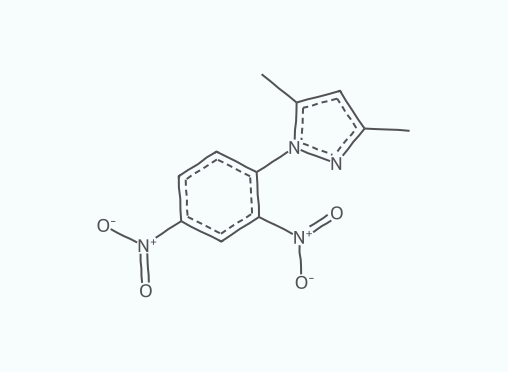 Cc1cc(C)n(-c2ccc([N+](=O)[O-])cc2[N+](=O)[O-])n1